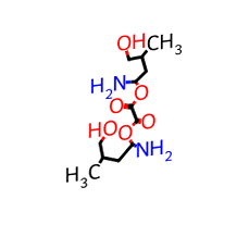 CC(CO)CC(N)OC(=O)C(=O)OC(N)CC(C)CO